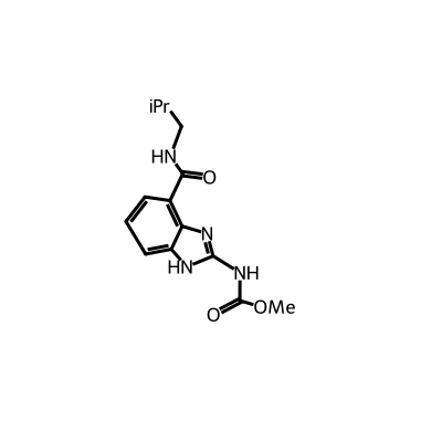 COC(=O)Nc1nc2c(C(=O)NCC(C)C)cccc2[nH]1